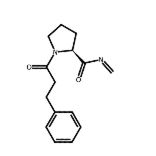 C=NC(=O)[C@@H]1CCCN1C(=O)CCc1ccccc1